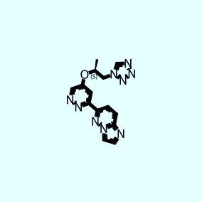 C[C@@H](Cn1cnnn1)Oc1cnnc(-c2ccc3nccn3n2)c1